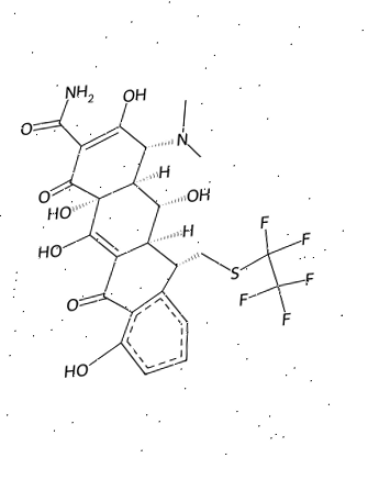 CN(C)[C@H]1C(O)=C(C(N)=O)C(=O)[C@]2(O)C(O)=C3C(=O)c4c(O)cccc4[C@@H](CSC(F)(F)C(F)(F)F)[C@@H]3[C@@H](O)[C@H]12